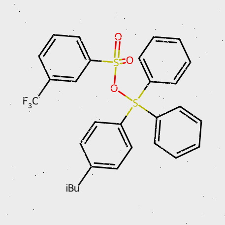 CCC(C)c1ccc(S(OS(=O)(=O)c2cccc(C(F)(F)F)c2)(c2ccccc2)c2ccccc2)cc1